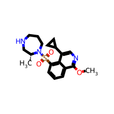 COc1ncc(C2CC2)c2c(S(=O)(=O)N3CCCNC[C@H]3C)cccc12